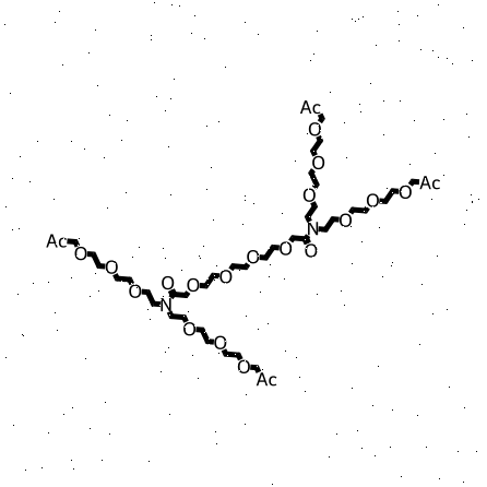 CC(=O)COCCOCCOCCN(CCOCCOCCOCC(C)=O)C(=O)COCCOCCOCCOCC(=O)N(CCOCCOCCOCC(C)=O)CCOCCOCCOCC(C)=O